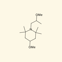 COC(C)CN1C(C)(C)CC(OC)CC1(C)C